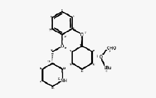 CC(C)(C)OC=O.c1ccc(OC2CCCCC2)c(OC[C@H]2CCCNC2)c1